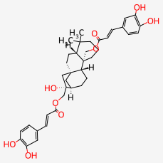 CC1(C)CCC[C@]2(COC(=O)/C=C/c3ccc(O)c(O)c3)[C@@H]1CC[C@@]13C[C@@H](CC[C@H]12)[C@@](O)(COC(=O)/C=C/c1ccc(O)c(O)c1)C3